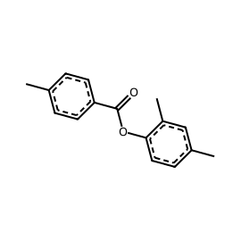 Cc1ccc(C(=O)Oc2ccc(C)cc2C)cc1